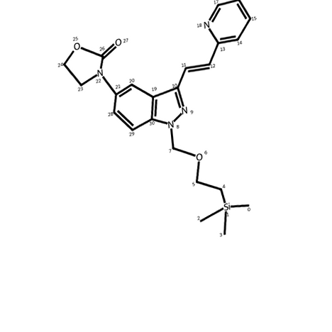 C[Si](C)(C)CCOCn1nc(C=Cc2ccccn2)c2cc(N3CCOC3=O)ccc21